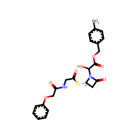 O=C(COc1ccccc1)NCC(=O)S[C@H]1CC(=O)N1C(O)C(=O)OCc1ccc([N+](=O)[O-])cc1